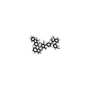 Cc1ccc(N(c2ccc(-c3c(F)c(F)c(N(c4ccc5c(c4)C(C)(C)c4ccccc4-5)c4cccc5ccccc45)c(F)c3F)cc2)c2cccc3ccccc23)cc1